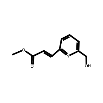 COC(=O)/C=C/c1cccc(CO)n1